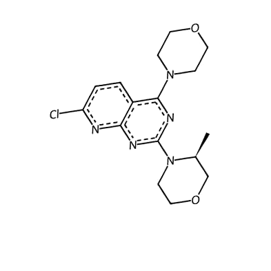 C[C@H]1COCCN1c1nc(N2CCOCC2)c2ccc(Cl)nc2n1